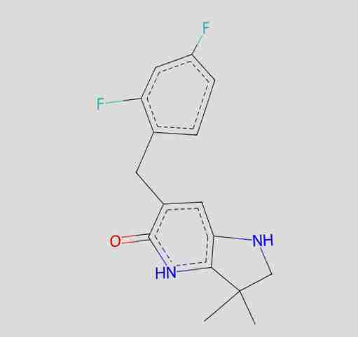 CC1(C)CNc2cc(Cc3ccc(F)cc3F)c(=O)[nH]c21